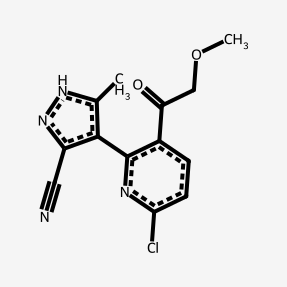 COCC(=O)c1ccc(Cl)nc1-c1c(C#N)n[nH]c1C